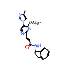 COc1nc(/C=C/C(=O)N[C@H]2CCc3ccccc32)ncc1-n1cnc(C)c1